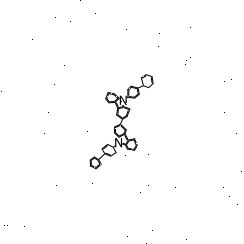 C1=CCC(c2ccc(-n3c4ccccc4c4cc(-c5ccc6c(c5)c5ccccc5n6C5C=CC(c6ccccc6)=CC5)ccc43)cc2)C=C1